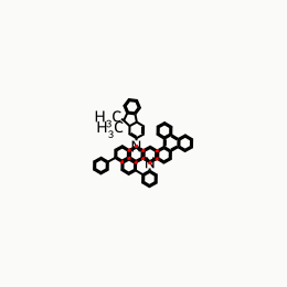 CC1(C)c2ccccc2C2C=CC(N(c3ccc(-c4ccccc4)cc3)c3ccccc3-c3ccccc3-c3ccccc3N(c3ccccc3)c3ccc4c5ccccc5c5ccccc5c4c3)=CC21